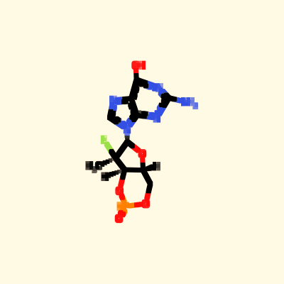 C[C@@]1(F)[C@@H]2O[PH](=O)OC[C@H]2O[C@H]1n1cnc2c(O)nc(N)nc21